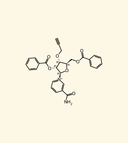 C#CCO[C@H]1[C@@H](OC(=O)c2ccccc2)[C@H]([n+]2cccc(C(N)=O)c2)O[C@@H]1COC(=O)c1ccccc1